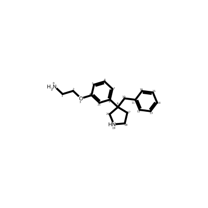 NCCOc1cccc(C2(Cc3ccccc3)CCNC2)c1